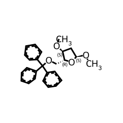 CO[C@@H]1C[C@H](OC)[C@@H](COC(c2ccccc2)(c2ccccc2)c2ccccc2)O1